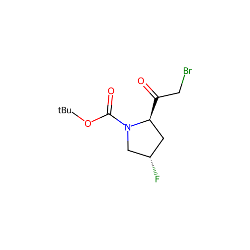 CC(C)(C)OC(=O)N1C[C@@H](F)C[C@@H]1C(=O)CBr